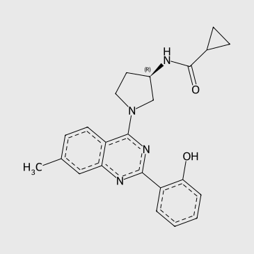 Cc1ccc2c(N3CC[C@@H](NC(=O)C4CC4)C3)nc(-c3ccccc3O)nc2c1